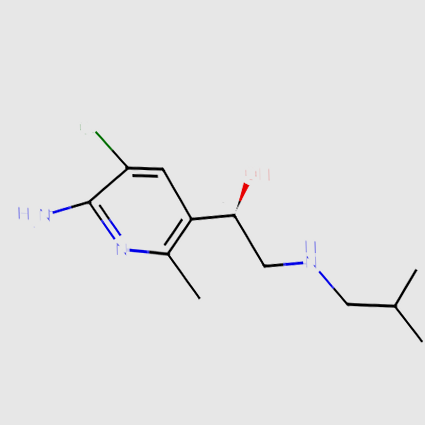 Cc1nc(N)c(Cl)cc1[C@@H](O)CNCC(C)C